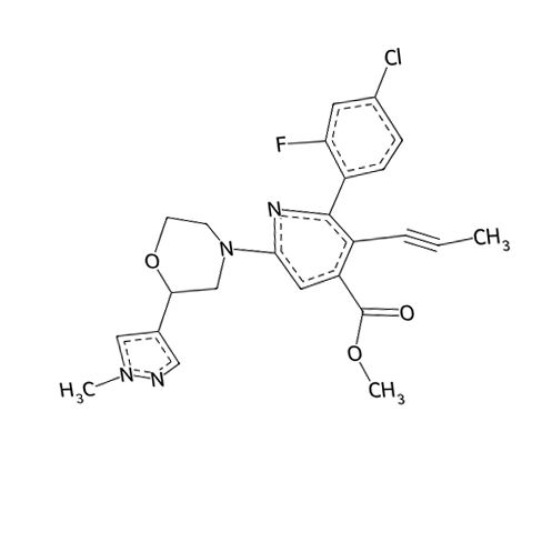 CC#Cc1c(C(=O)OC)cc(N2CCOC(c3cnn(C)c3)C2)nc1-c1ccc(Cl)cc1F